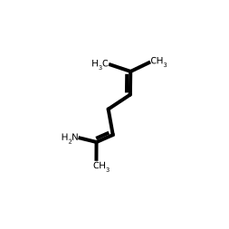 CC(C)=CC/C=C(/C)N